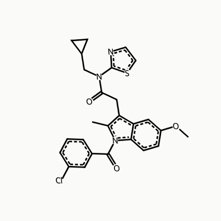 COc1ccc2c(c1)c(CC(=O)N(CC1CC1)c1nccs1)c(C)n2C(=O)c1cccc(Cl)c1